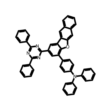 c1ccc(-c2nc(-c3ccccc3)nc(-c3cc(-c4ccc(N(c5ccccc5)c5ccccc5)cc4)c4oc5cc6ccccc6cc5c4c3)n2)cc1